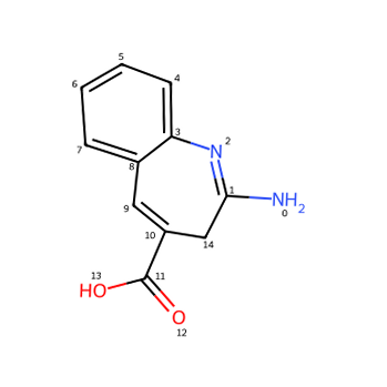 NC1=Nc2ccccc2C=C(C(=O)O)C1